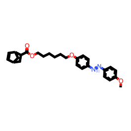 COc1ccc(/N=N/c2ccc(OCCCCCCOC(=O)C3CC4C=CC3C4)cc2)cc1